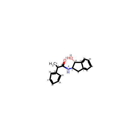 CC(C(=O)N[C@@H]1Cc2ccccc2[C@H]1O)c1ccccc1